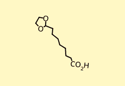 O=C(O)CCCCCCCC1OCCO1